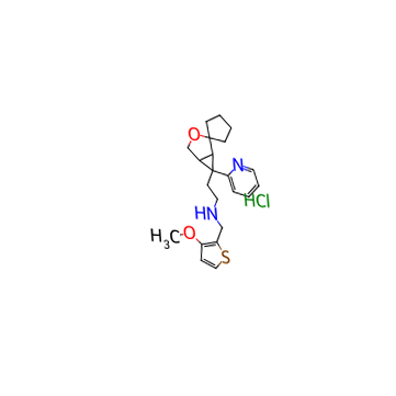 COc1ccsc1CNCCC1(c2ccccn2)C2COC3(CCCC3)C21.Cl